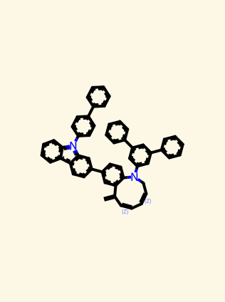 C=C1/C=C\C=C/CN(c2cc(-c3ccccc3)cc(-c3ccccc3)c2)c2ccc(-c3ccc4c5ccccc5n(-c5ccc(-c6ccccc6)cc5)c4c3)cc21